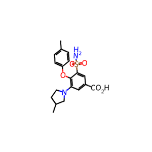 Cc1ccc(Oc2c(N3CCC(C)C3)cc(C(=O)O)cc2S(N)(=O)=O)cc1